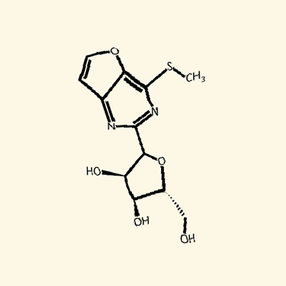 CSc1nc(C2O[C@H](CO)[C@@H](O)[C@H]2O)nc2ccoc12